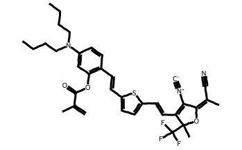 [C-]#[N+]C1=C(/C=C/c2ccc(/C=C/c3ccc(N(CCCC)CCCC)cc3OC(=O)C(=C)C)s2)C(C)(C(F)(F)F)O/C1=C(\C)C#N